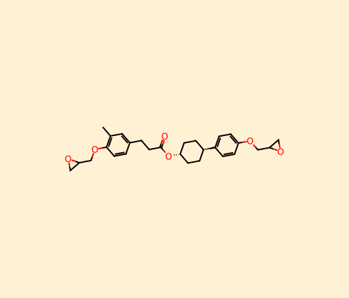 Cc1cc(CCC(=O)O[C@H]2CC[C@H](c3ccc(OCC4CO4)cc3)CC2)ccc1OCC1CO1